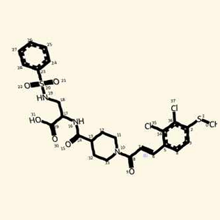 CSc1ccc(/C=C/C(=O)N2CCC(C(=O)NC(CNS(=O)(=O)c3ccccc3)C(=O)O)CC2)c(Cl)c1Cl